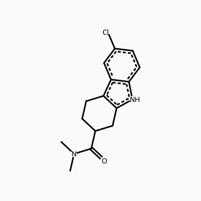 CN(C)C(=O)C1CCc2c([nH]c3ccc(Cl)cc23)C1